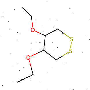 CCOC1CSSCC1OCC